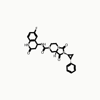 O=C1CC(NC(=O)N2CCN3C(=O)N([C@H]4C[C@@H]4c4ccccc4)C(=O)[C@@H]3C2)c2cc(F)ccc2N1